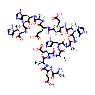 C[C@H](N)C(=O)N[C@@H](CCC(=O)O)C(=O)N[C@@H](C)C(=O)N[C@@H](CCC(=O)O)C(=O)N[C@@H](C)C(=O)N[C@@H](Cc1cnc[nH]1)C(=O)N[C@@H](C)C(=O)N[C@@H](Cc1cnc[nH]1)C(=O)N[C@@H](C)C(=O)N[C@@H](CCC(=O)O)C(=O)N[C@@H](C)C(=O)N[C@@H](CCC(=O)O)C(=O)N[C@@H](C)C(=O)N[C@@H](Cc1cnc[nH]1)C(=O)N[C@@H](C)C(=O)N[C@@H](Cc1cnc[nH]1)C(=O)O